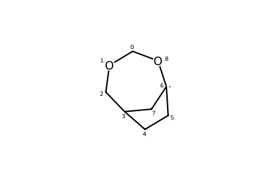 C1OCC2CC[C](C2)O1